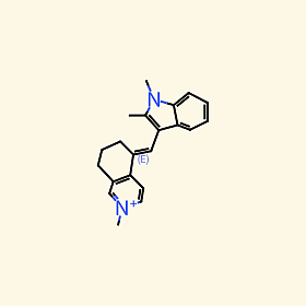 Cc1c(/C=C2\CCCc3c[n+](C)ccc32)c2ccccc2n1C